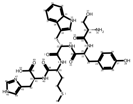 CSCC[C@H](NC(=O)[C@H](Cc1c[nH]c2ccccc12)NC(=O)[C@H](Cc1ccc(O)cc1)NC(=O)[C@@H](N)CO)C(=O)N[C@@H](Cc1c[nH]cn1)C(=O)O